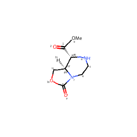 COC(=O)[C@@H]1NCCN2C(=O)OC[C@@H]12